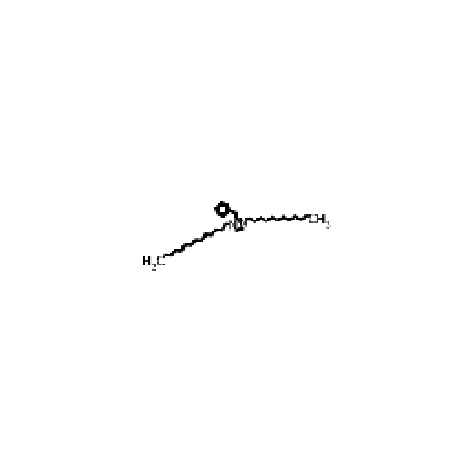 CCCCCCCCCCCCCC[n+]1ccn(CCCCCCCCCCCC)c1Cc1ccccc1